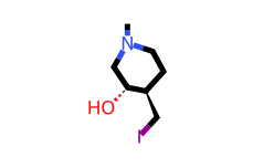 CN1CC[C@@H](CI)[C@H](O)C1